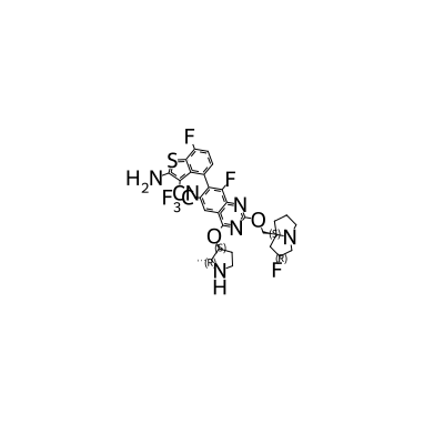 C[C@H]1NCC[C@@H]1Oc1nc(OC[C@@]23CCCN2C[C@H](F)C3)nc2c(F)c(-c3ccc(F)c4sc(N)c(C#N)c34)c(C(F)(F)F)cc12